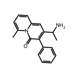 Cc1cccc2cc(C(C)N)c(-c3ccccc3)c(=O)n12